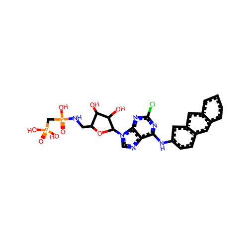 O=P(O)(O)CP(=O)(O)NCC1OC(n2cnc3c(Nc4ccc5cc6ccccc6cc5c4)nc(Cl)nc32)C(O)C1O